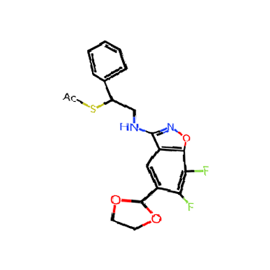 CC(=O)SC(CNc1noc2c(F)c(F)c(C3OCCO3)cc12)c1ccccc1